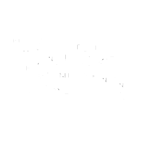 CC(C)OC(=O)[C@H](C)NP(=S)(N[C@@H](C)C(=O)OC(C)C)OC[C@@]1(C(F)F)O[C@@H](n2ccc(=O)[nH]c2=O)[C@H](O)C1(F)F